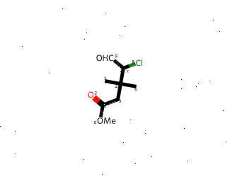 COC(=O)CC(C)(C)C(Cl)C=O